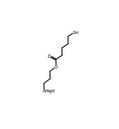 CCCCCCCCCCOC(=O)CCCCS